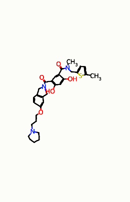 Cc1ccc(CN(C)C(=O)c2cc(C(=O)N3Cc4ccc(OCCCN5CCCCC5)cc4C3)c(O)cc2O)s1